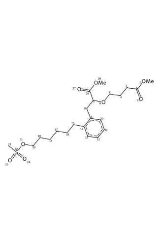 COC(=O)CCCOC(Cc1ccccc1CCCCCCOS(C)(=O)=O)C(=O)OC